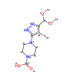 COC(OC)c1n[nH]c(N2CCN(C(=O)O)CC2)c1I